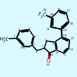 Cc1cccc(CC2Cc3c(cccc3-c3cccc(C(F)(F)F)c3)C2=O)c1